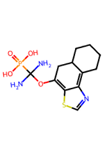 NC(N)(OC1=c2scnc2=C2CCCCC2C1)P(=O)(O)O